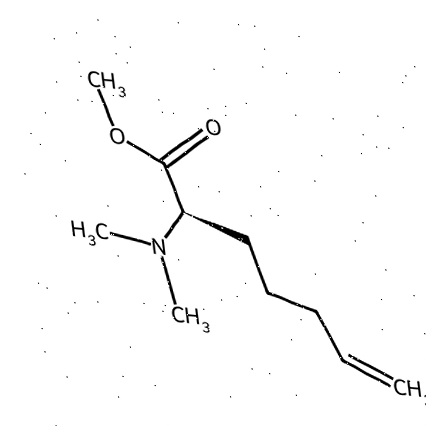 C=CCCC[C@H](C(=O)OC)N(C)C